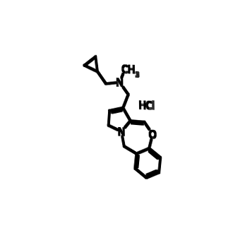 CN(CC1=CCN2Cc3ccccc3OC=C12)CC1CC1.Cl